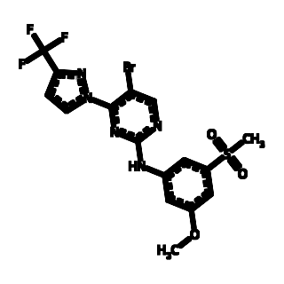 COc1cc(Nc2ncc(Br)c(-n3ccc(C(F)(F)F)n3)n2)cc(S(C)(=O)=O)c1